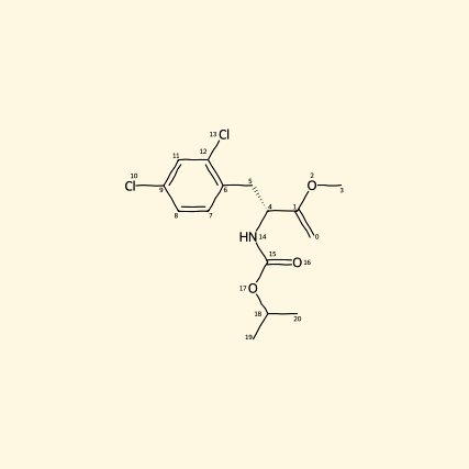 C=C(OC)[C@@H](Cc1ccc(Cl)cc1Cl)NC(=O)OC(C)C